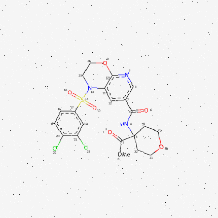 COC(=O)C1(NC(=O)c2cnc3c(c2)N(S(=O)(=O)c2ccc(Cl)c(Cl)c2)CCO3)CCOCC1